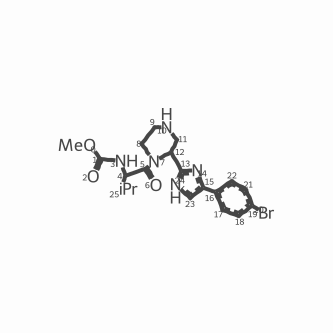 COC(=O)NC(C(=O)N1CCNCC1c1nc(-c2ccc(Br)cc2)c[nH]1)C(C)C